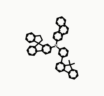 CC1(C)c2ccccc2-c2cccc(-c3cccc(N(c4ccc5c(c4)C4(CCc6ccccc64)c4ccccc4-5)c4ccc5c(ccc6ccccc65)c4)c3)c21